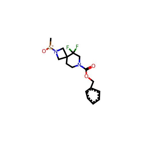 C[S+]([O-])N1CC2(CCN(C(=O)OCc3ccccc3)CC2(F)F)C1